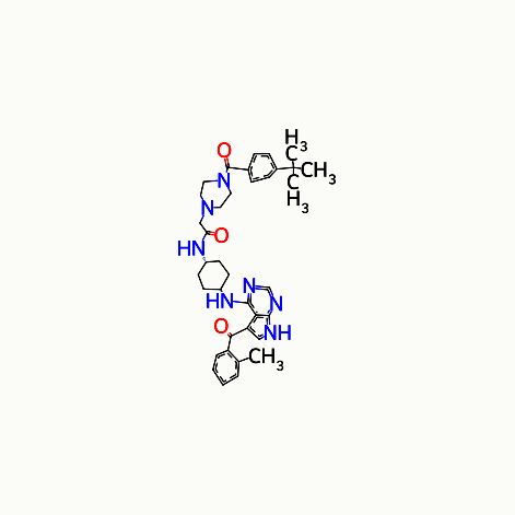 Cc1ccccc1C(=O)c1c[nH]c2ncnc(N[C@H]3CC[C@@H](NC(=O)CN4CCN(C(=O)c5ccc(C(C)(C)C)cc5)CC4)CC3)c12